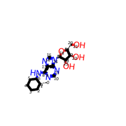 C[C@@H]1CCCCC1Nc1ncnc2c1ncn2[C@@H]1O[C@H](CO)[C@@H](O)[C@H]1O